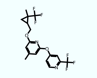 Cc1cc(OCC2CC2(C)C(F)(F)F)nc(Oc2ccnc(C(F)(F)F)c2)c1